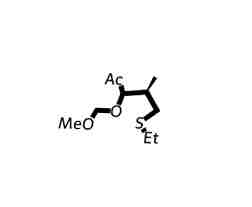 CCSC[C@H](C)C(OCOC)C(C)=O